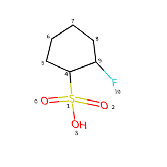 O=S(=O)(O)C1CCCCC1F